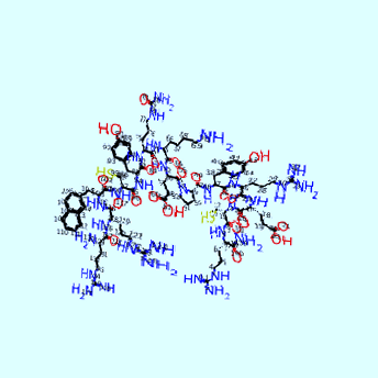 N=C(N)NCCC[C@H](NC(=O)[C@H](CS)NC(=O)[C@@H](CCC(=O)O)NC(=O)[C@H](CCCNC(=N)N)NC(=O)[C@H](Cc1ccc(O)cc1)NC(=O)[C@@H]1CCCN1C(=O)[C@@H](CCC(=O)O)NC(=O)[C@H](CCCCN)NC(=O)[C@H](CCCNC(N)=O)NC(=O)[C@H](Cc1ccc(O)cc1)NC(=O)[C@H](CS)NC(=O)[C@H](Cc1ccc2ccccc2c1)NC(=O)[C@H](CCCNC(=N)N)NC(=O)[C@@H](N)CCCNC(=N)N)C(N)=O